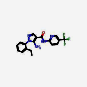 CCc1ccccc1-n1ncc(C(=O)Nc2ccc(C(F)(F)F)cn2)c1N